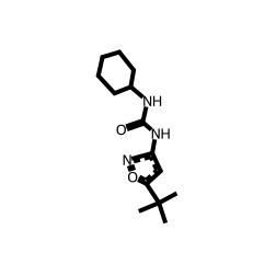 CC(C)(C)c1cc(NC(=O)NC2CCCCC2)no1